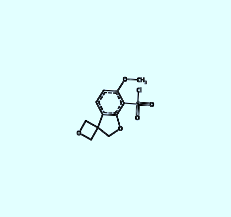 COc1ccc2c(c1S(=O)(=O)Cl)OCC21COC1